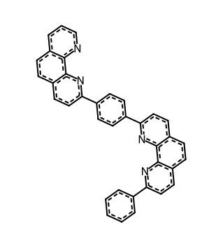 c1ccc(-c2ccc3ccc4ccc(-c5ccc(-c6ccc7ccc8cccnc8c7n6)cc5)nc4c3n2)cc1